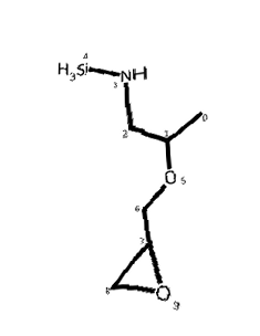 CC(CN[SiH3])OCC1CO1